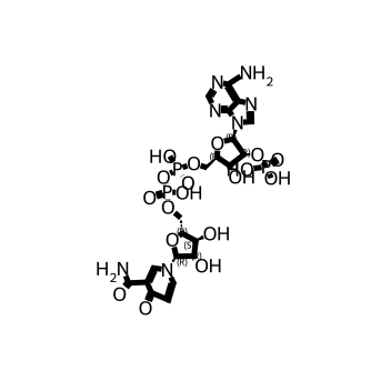 NC(=O)c1cn([C@@H]2O[C@H](COP(=O)(O)OP(=O)(O)OC[C@H]3O[C@@H](n4cnc5c(N)ncnc54)[C@H](OP(=O)(O)O)[C@@H]3O)[C@@H](O)[C@H]2O)ccc1=O